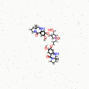 COc1cc2c(cc1OCCCP(=O)(CCCO)CCCOc1cc3c(cc1OC)C(=O)N1CCC[C@H]1CN3)NC[C@@H]1CCCN1C2=O